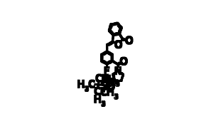 CC(C)(C)[Si](C)(C)O[C@H]1CCN(C(=O)c2cc(C=C3OC(=O)c4ccccc43)ccc2F)C1